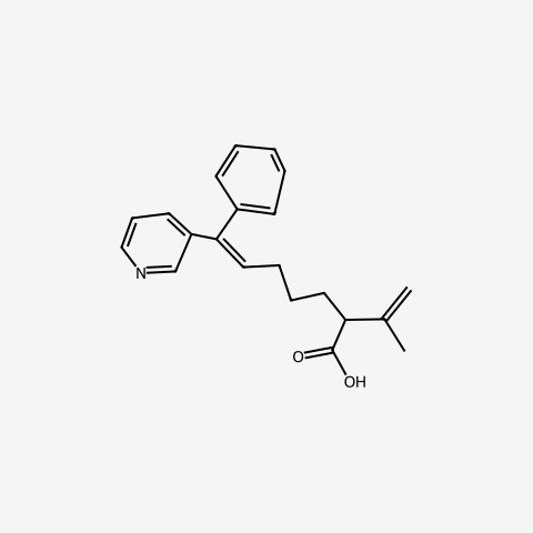 C=C(C)C(CCC/C=C(\c1ccccc1)c1cccnc1)C(=O)O